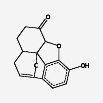 O=C1CCC2CC=C3CC24c2c3ccc(O)c2OC14